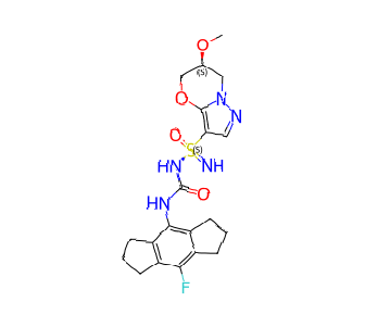 CO[C@@H]1COc2c([S@](=N)(=O)NC(=O)Nc3c4c(c(F)c5c3CCC5)CCC4)cnn2C1